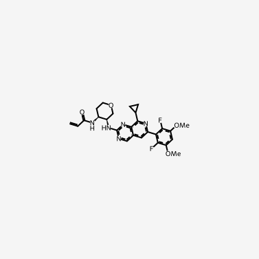 C=CC(=O)N[C@H]1CCOC[C@H]1Nc1ncc2cc(-c3c(F)c(OC)cc(OC)c3F)nc(C3CC3)c2n1